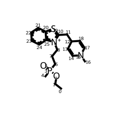 CCOP(C)(=O)CCC[n+]1c(CC2C=CN(C)C=C2)sc2ccccc21